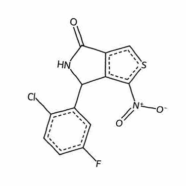 O=C1NC(c2cc(F)ccc2Cl)c2c1csc2[N+](=O)[O-]